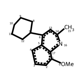 COc1cccc2c(C3CCCCC3)cc(C)nc12